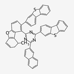 CC1CC=Cc2oc3ccc(-c4ccc5c(c4)sc4ccccc45)c(-c4nc(-c5ccc6ccccc6c5)nc(-c5ccc6c(c5)sc5ccccc56)n4)c3c21